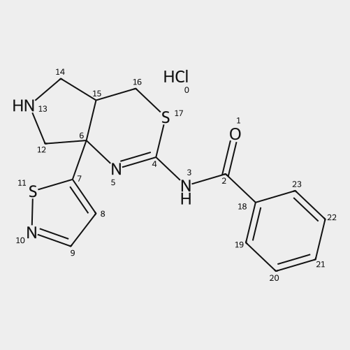 Cl.O=C(NC1=NC2(c3ccns3)CNCC2CS1)c1ccccc1